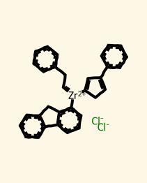 C1=C(c2ccccc2)C=[C]([Zr+2](=[CH]Cc2ccccc2)[c]2cccc3c2Cc2ccccc2-3)C1.[Cl-].[Cl-]